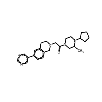 C[C@H]1CN(C(=O)CN2CCc3cc(-c4cncnc4)ccc3C2)CCN1C1CCCC1